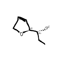 CC[C@@H](O)[C@@H]1C=CCO1